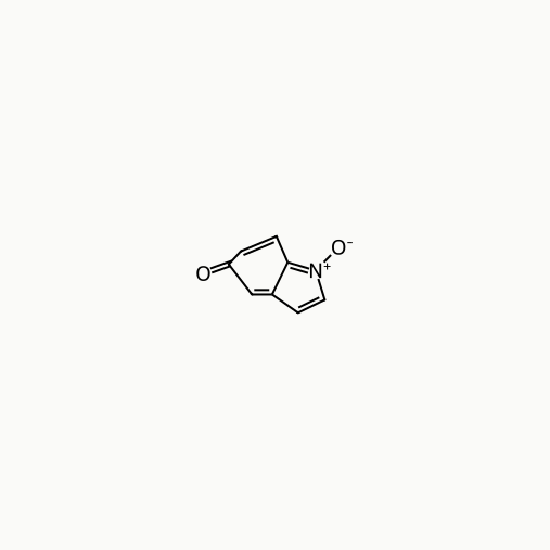 O=C1C=CC2=[N+]([O-])C=CC2=C1